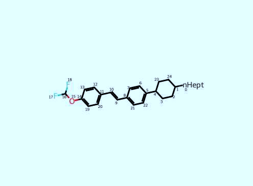 CCCCCCCC1CCC(c2ccc(C=Cc3ccc(OC(F)F)cc3)cc2)CC1